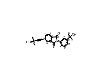 CC(C)(O)C#Cc1ccc2c(c1)C(=O)N(c1cccc(C(C)(C)O)c1)C2=O